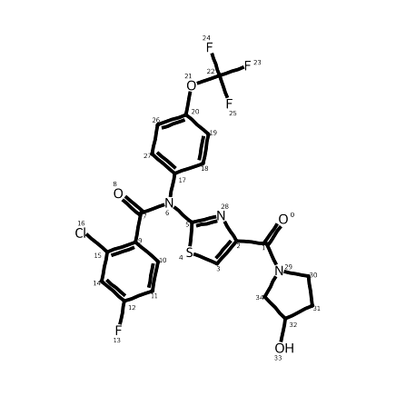 O=C(c1csc(N(C(=O)c2ccc(F)cc2Cl)c2ccc(OC(F)(F)F)cc2)n1)N1CCC(O)C1